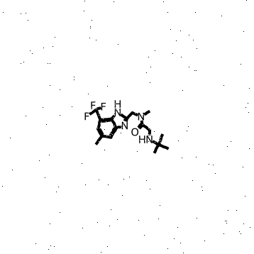 Cc1cc(C(F)(F)F)c2[nH]c(CN(C)C(=O)CNC(C)(C)C)nc2c1